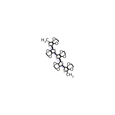 CC1S/C(=C2/S/C(=c3/s/c(=c4/s/c(=C5/SC(C)C6=C5OCCO6)c5c4OCCO5)c4c3OCCO4)C3OCCOC23)C2=C1OCCO2